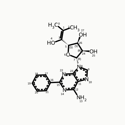 CC(C)=C(O)[C@H]1O[C@@H](n2cnc3c(N)nc(-c4ccccc4)nc32)[C@H](O)[C@@H]1O